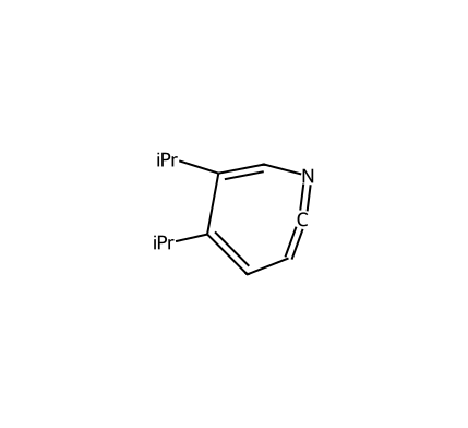 CC(C)C1=CC=C=NC=C1C(C)C